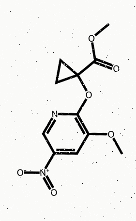 COC(=O)C1(Oc2ncc([N+](=O)[O-])cc2OC)CC1